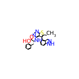 CCc1sc2ncnc(N[C@H](Cc3ccccc3)C(=O)O)c2c1-c1cccc2[nH]ncc12